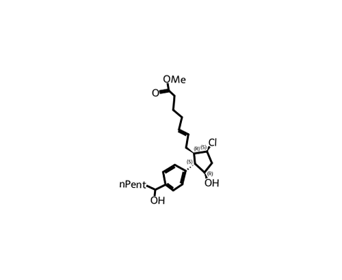 CCCCCC(O)c1ccc([C@@H]2[C@@H](CC=CCCCC(=O)OC)[C@@H](Cl)C[C@H]2O)cc1